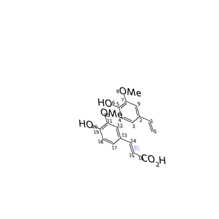 C=Cc1ccc(O)c(OC)c1.COc1cc(/C=C/C(=O)O)ccc1O